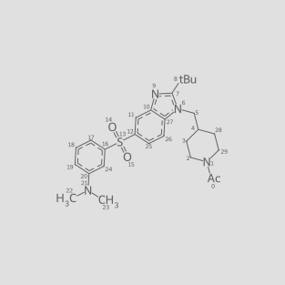 CC(=O)N1CCC(Cn2c(C(C)(C)C)nc3cc(S(=O)(=O)c4cccc(N(C)C)c4)ccc32)CC1